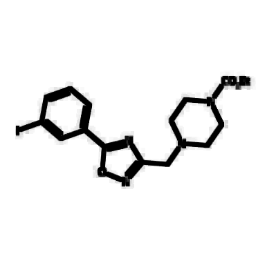 CCOC(=O)N1CCN(Cc2noc(-c3cccc(I)c3)n2)CC1